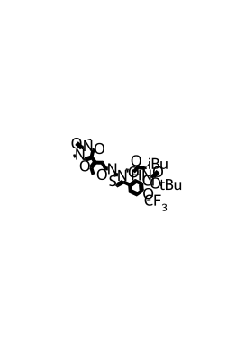 CCC(C)[C@H](NC(=O)OC(C)(C)C)C(=O)OCn1c(-c2ccc(OC(F)(F)F)c(Cl)c2)cs/c1=N\C(=O)Cc1c(C)oc2c1c(=O)n(C)c(=O)n2C